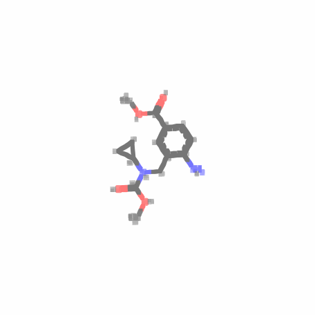 CC(C)(C)OC(=O)c1ccc(N)c(CN(C(=O)OC(C)(C)C)C2CC2)c1